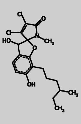 CCC(C)CCCc1c(O)ccc2c1OC1(C(Cl)=C(Cl)C(=O)N1C)C2O